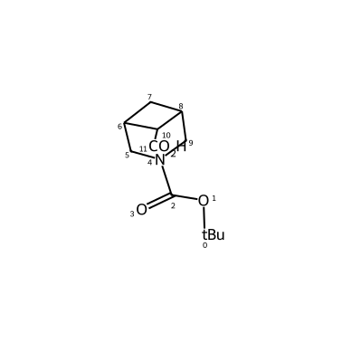 CC(C)(C)OC(=O)N1CC2CC(C1)C2C(=O)O